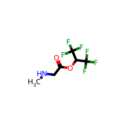 CNCC(=O)OC(C(F)(F)F)C(F)(F)F